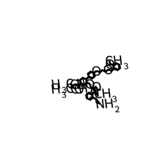 COc1ccccc1COCCCOc1ccc(C2CCN(C(=O)OC(C)(C)C)CC2OCC(=O)N(C)c2ccccc2CCN)cc1